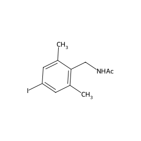 CC(=O)NCc1c(C)cc(I)cc1C